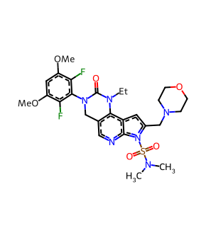 CCN1C(=O)N(c2c(F)c(OC)cc(OC)c2F)Cc2cnc3c(cc(CN4CCOCC4)n3S(=O)(=O)N(C)C)c21